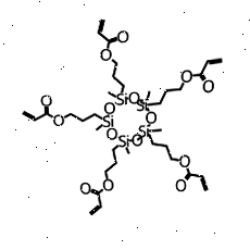 C=CC(=O)OCCC[Si]1(C)O[Si](C)(CCCOC(=O)C=C)O[Si](C)(CCCOC(=O)C=C)O[Si](C)(CCCOC(=O)C=C)O[Si](C)(CCCOC(=O)C=C)O1